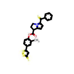 Cc1cc(-c2cc(=S)ss2)ccc1OC(=O)C1CCn2c(C(=S)c3ccccc3)ccc21